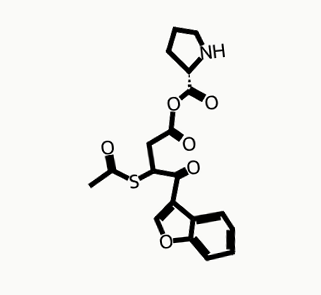 CC(=O)SC(CC(=O)OC(=O)[C@@H]1CCCN1)C(=O)c1coc2ccccc12